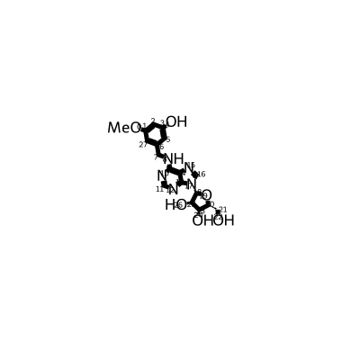 COc1cc(O)cc(CNc2ncnc3c2ncn3[C@@H]2O[C@H](CO)[C@@H](O)[C@H]2O)c1